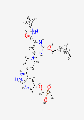 C[C@@H]1C[C@@H]1COc1nc(C(=O)NC23CC(C2)C3)cc(N2CCC(c3n[nH]c4ncc(OCS(C)(=O)=O)cc34)CC2)n1